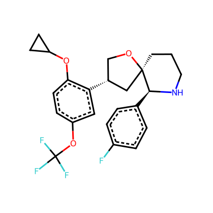 Fc1ccc([C@@H]2NCCC[C@@]23C[C@H](c2cc(OC(F)(F)F)ccc2OC2CC2)CO3)cc1